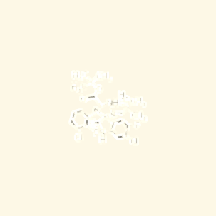 CC(C)(C)C[C@@H]1NC(C(=O)OC(C)(C)C)[C@@H](c2cccc(Cl)c2F)C12C(=O)Nc1cc(Cl)c(F)cc12